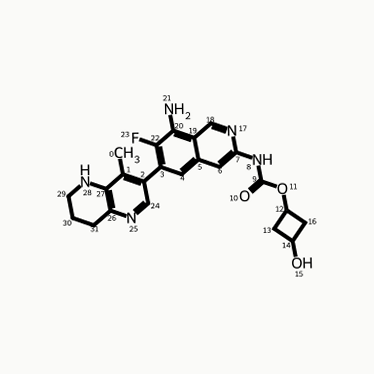 Cc1c(-c2cc3cc(NC(=O)OC4CC(O)C4)ncc3c(N)c2F)cnc2c1NCCC2